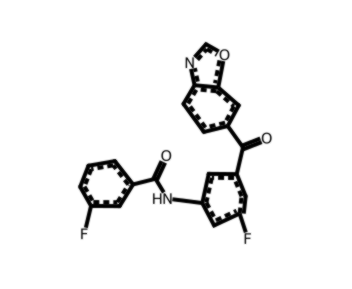 O=C(Nc1cc(F)cc(C(=O)c2ccc3ncoc3c2)c1)c1cccc(F)c1